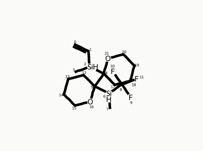 C=C[SiH](C)C1(C2([SiH](C)C(F)(F)F)CCCCO2)CCCCO1